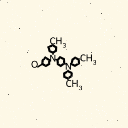 Cc1ccc(N(c2ccc(C)cc2)c2ccc(N(c3ccc(C)cc3)c3ccc(C=O)cc3)cc2)cc1